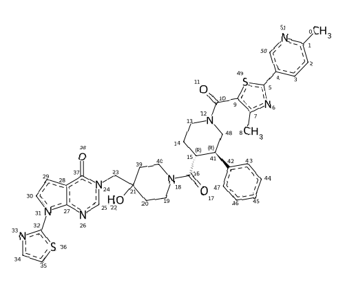 Cc1ccc(-c2nc(C)c(C(=O)N3CC[C@@H](C(=O)N4CCC(O)(Cn5cnc6c(ccn6-c6nccs6)c5=O)CC4)[C@H](c4ccccc4)C3)s2)cn1